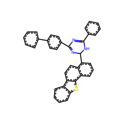 c1ccc(C2=NC(c3ccc(-c4ccccc4)cc3)=NC(c3cccc4c3ccc3c5ccccc5sc43)N2)cc1